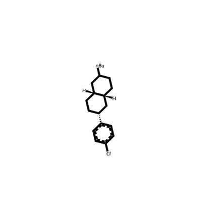 CCCCC1CC[C@@H]2C[C@H](c3ccc(Cl)cc3)CC[C@@H]2C1